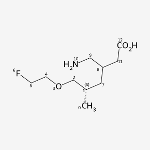 C[C@H](COCCF)CC(CN)CC(=O)O